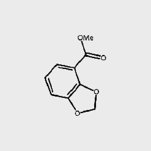 COC(=O)c1cccc2c1OCO2